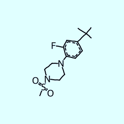 CC(C)(C)c1ccc(N2CCN(S(C)(=O)=O)CC2)c(F)c1